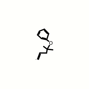 [CH]=CCC(C)(C)Oc1ccccc1